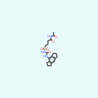 CC(=O)NC(=O)CCCS(=O)(=O)NC(=O)Nc1c2c(cc3c1CCC3)CCC2